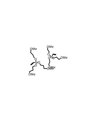 C=C[Si](OCCCOC)(OCCCOC)OCCCOC.C=C[Si](OCCOC)(OCCOC)OCCOC